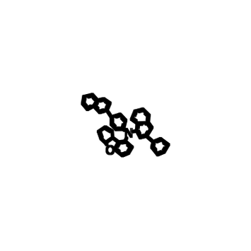 C1=CC2Oc3cccc(N(c4ccc(-c5ccc6ccccc6c5)cc4)c4cc(-c5ccccc5)cc5ccccc45)c3C2C=C1